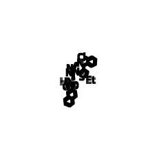 CCc1cc2c(s1)-n1c(nnc1CNS(=O)(=O)c1ccc3ccccc3c1)CN=C2c1ccccc1Cl